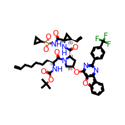 C=CCCCCC[C@H](NC(=O)OC(C)(C)C)C(=O)N1C[C@H](Oc2nc(-c3ccc(C(F)(F)F)cc3)nc3c2oc2ccccc23)C[C@H]1C(=O)N[C@]1(C(=O)NS(=O)(=O)C2CC2)C[C@H]1C=C